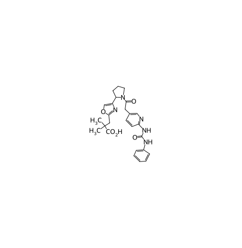 CC(C)(Cc1nc(C2CCCN2C(=O)Cc2ccc(NC(=O)Nc3ccccc3)nc2)co1)C(=O)O